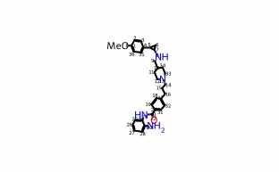 COc1ccc(C2CC2NCC2CCN(CCCc3ccc(C(=O)Nc4ccccc4N)cc3)CC2)cc1